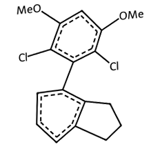 COc1cc(OC)c(Cl)c(-c2cccc3c2CCC3)c1Cl